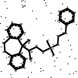 C[N+](C)(CCCc1ccccc1)CCC(Br)C1(Br)c2ccccc2CCc2ccccc21